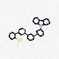 Sc1ccccc1C1=CC(c2cccc(-c3cccc(-n4c5ccccc5c5ccccc54)c3)c2)CC=C1